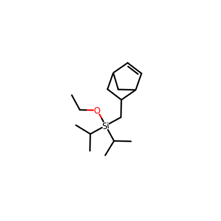 CCO[Si](CC1CC2C=CC1C2)(C(C)C)C(C)C